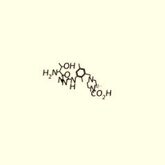 Cc1cc(CN2CCN(C(=O)O)[C@@H](C)C2)c(C)c(Nc2nnc(C(N)C(C)O)o2)c1